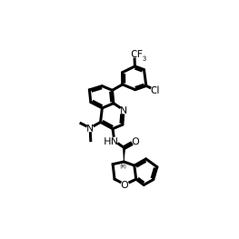 CN(C)c1c(NC(=O)[C@@H]2CCOc3ccccc32)cnc2c(-c3cc(Cl)cc(C(F)(F)F)c3)cccc12